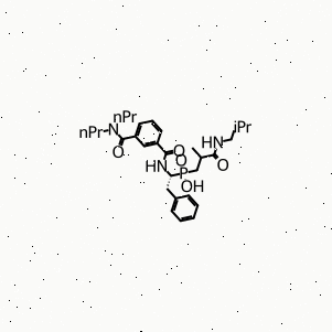 CCCN(CCC)C(=O)c1cccc(C(=O)N[C@@H](Cc2ccccc2)P(=O)(O)CC(C)C(=O)NCC(C)C)c1